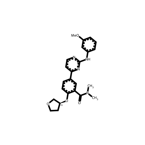 COc1cccc(Nc2nccc(-c3ccc(O[C@H]4CCOC4)c(C(=O)N(C)C)c3)n2)c1